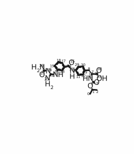 CC(C)OC(=O)N[C@@H](Cc1ccc(NC(=O)c2cccc(NC(N)=NC(N)=O)c2)cc1)C(=O)O